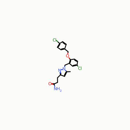 Cc1cc(CCC(N)=O)nn1Cc1cc(Cl)ccc1OCc1ccc(Cl)cc1